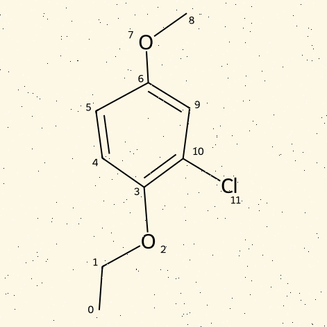 CCOc1ccc(OC)cc1Cl